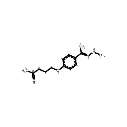 CN/N=C(\C)c1ccc(OCCCC(C)=O)cc1